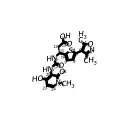 Cc1noc(C)c1-c1ccc([C@H](CC(=O)O)NC(=O)Nc2c(O)ccn(C)c2=O)s1